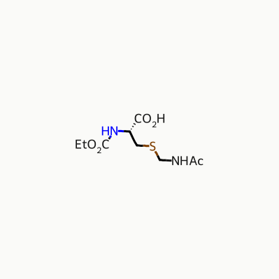 CCOC(=O)N[C@@H](CSCNC(C)=O)C(=O)O